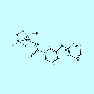 O=C(N[C@@H]1C[C@H]2CC[C@@H]1N2)c1cccc(Oc2ccccc2)c1